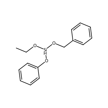 CCO[SiH](OCc1ccccc1)Oc1ccccc1